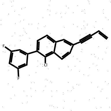 C=CC#Cc1ccc2c(Cl)c(-c3cc(F)cc(F)c3)ccc2c1